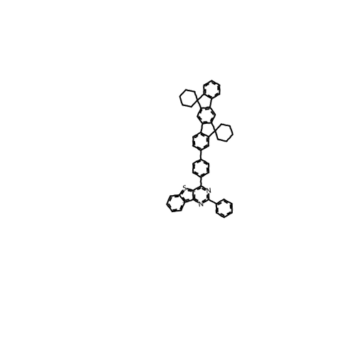 c1ccc(-c2nc(-c3ccc(-c4ccc5c(c4)C4(CCCCC4)c4cc6c(cc4-5)C4(CCCCC4)c4ccccc4-6)cc3)c3sc4ccccc4c3n2)cc1